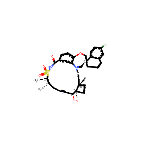 C[C@@H]1[C@@H](C)C/C=C\[C@H](O)[C@@H]2CC[C@H]2CN2C[C@@]3(CCCc4cc(Cl)ccc43)COc3ccc(cc32)C(=O)NS1(=O)=O